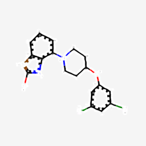 [O]c1nc2c(N3CCC(Oc4cc(Cl)cc(Cl)c4)CC3)cccc2s1